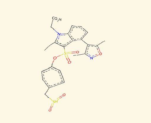 Cc1noc(C)c1-c1cccc2c1c(S(=O)(=O)Oc1ccc(C[SH](=O)=O)cc1)c(C)n2CC(=O)O